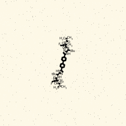 CN(C)C(=O)OC(C)(C(=O)/N=C(\c1ncc(-c2ccc(-c3ccc(-c4cnc(C(NC(=O)C(C)(OC(=O)N(C)C)C(C)(C)CF)C(C)(C)C)[nH]4)cc3)cc2)[nH]1)C(C)(C)C)C(C)(C)CF